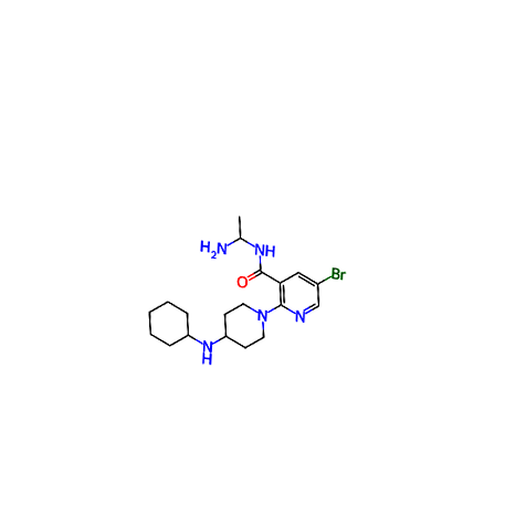 CC(N)NC(=O)c1cc(Br)cnc1N1CCC(NC2CCCCC2)CC1